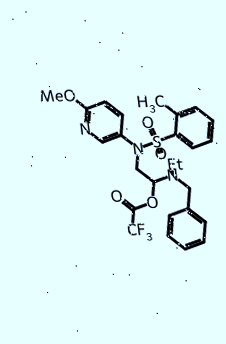 CCN(Cc1ccccc1)C(CN(c1ccc(OC)nc1)S(=O)(=O)c1ccccc1C)OC(=O)C(F)(F)F